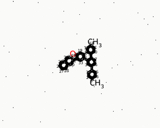 Cc1ccc(-c2ccc(-c3ccc(C)cc3)c(-c3ccc4oc5cc6ccccc6cc5c4c3)c2)cc1